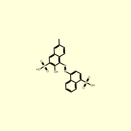 Cc1ccc2c(/N=N/c3ccc(S(=O)(=O)O)c4ccccc34)c(O)c(S(=O)(=O)O)cc2c1